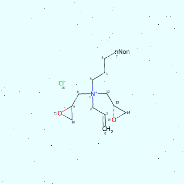 C=CC[N+](CCCCCCCCCCCC)(CC1CO1)CC1CO1.[Cl-]